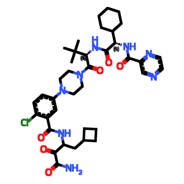 CC(C)(C)[C@H](NC(=O)[C@@H](NC(=O)c1cnccn1)C1CCCCC1)C(=O)N1CCN(c2ccc(Cl)c(C(=O)NC(CC3CCC3)C(=O)C(N)=O)c2)CC1